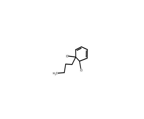 CCCCC1(Cl)C=CC=CC1Cl